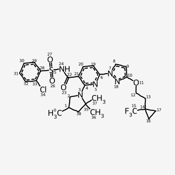 CC1CN(c2nc(-n3ccc(OCCC4(C(F)(F)F)CC4)n3)ccc2C(=O)NS(=O)(=O)c2ccccc2Cl)C(C)(C)C1